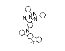 CC1(C)c2ccccc2-c2cc3c(cc21)c1ccccc1n3-c1ccc(-c2nc(-c3ccccc3)nc(-c3ccccc3)n2)c(C#N)c1